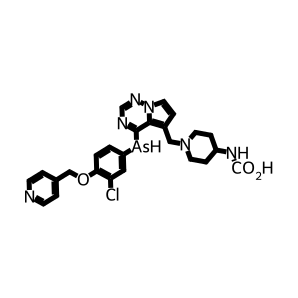 O=C(O)NC1CCN(Cc2ccn3ncnc([AsH]c4ccc(OCc5ccncc5)c(Cl)c4)c23)CC1